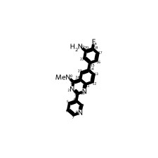 CNc1nc(-c2cccnc2)nc2ccc(-c3ccc(F)c(N)c3)cc12